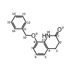 O=C1CCc2c[c]cc(OCc3ccccc3)c2N1